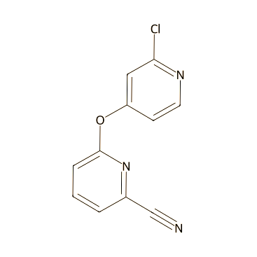 N#Cc1cccc(Oc2ccnc(Cl)c2)n1